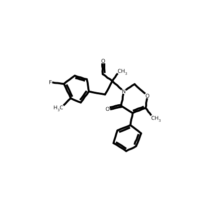 CC1=C(c2ccccc2)C(=O)N(C(C)(C=O)Cc2ccc(F)c(C)c2)CO1